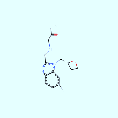 COC(=O)CNCc1nc2ccc(C(C)=O)cc2n1C[C@@H]1CCO1